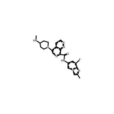 CNC1CCN(c2cnc(C(=O)Nc3cc(F)c4nc(C)cn4c3)c3nnccc23)CC1